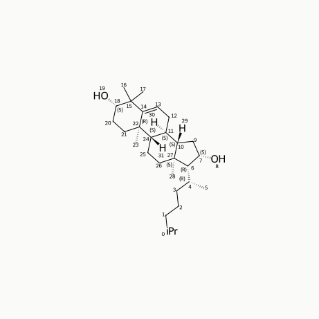 CC(C)CCC[C@@H](C)[C@H]1[C@@H](O)C[C@H]2[C@@H]3CC=C4C(C)(C)[C@@H](O)CC[C@]4(C)[C@H]3CC[C@]12C